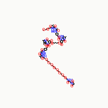 CN[C@@]12CC(C)=CN1C(=O)c1cc(OC)c(OCCCCCOc3cc4c(cc3OC)C(=O)N3C=C(C)C[C@H]3[C@H](O)N4C(=O)OCc3ccc(NC(=O)[C@H](C)NC(=O)[C@@H](NC(=O)CCOCCOCCOCCOCCOCCOCCOCCOCCNC(=O)CCN4C(=O)C=CC4=O)C(C)C)cc3)cc1N(C(=O)OCc1ccc(NC(=O)[C@H](C)NC(=O)[C@@H](NC(=O)CCOCCOC)C(C)C)cc1)C2